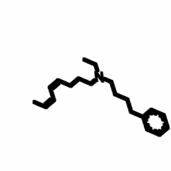 C/C=C\C=C/CCCN(CC)CCCCc1ccccc1